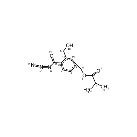 CC(C)C(=O)OCc1ccc(C(=O)N=[N+]=[N-])c(CO)c1